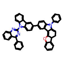 C1=c2c(c3cc(-c4ccc5c(c4)c4ccccc4n5-c4nc(-c5ccccc5)c5ccccc5n4)ccc3n2-c2ccccc2)=C2Oc3ccccc3C2C1